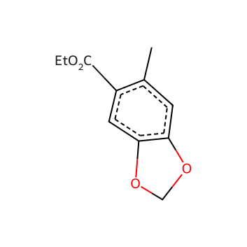 CCOC(=O)c1cc2c(cc1C)OCO2